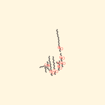 C=CC(=O)O.C=CC(=O)OCC(CC)CC.C=CC(=O)OCCC.C=CC(=O)OCCCCCCCCCC.C=CC(=O)OCCCCCCCCCCC.C=CC(=O)OCCCCCCCCCCCCC.C=CC(=O)[O][Sn]([CH2]CCC)([CH2]CCC)[CH2]CCC